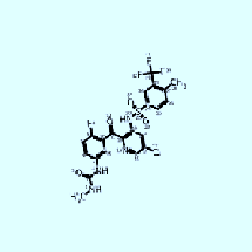 CNC(=O)Nc1ccc(F)c(C(=O)c2ncc(Cl)cc2NS(=O)(=O)c2ccc(C)c(C(F)(F)F)c2)c1